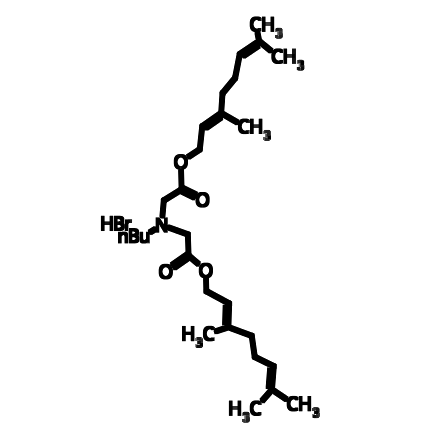 Br.CCCCN(CC(=O)OC/C=C(\C)CCC=C(C)C)CC(=O)OC/C=C(\C)CCC=C(C)C